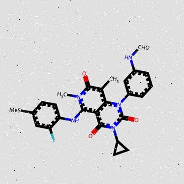 CSc1ccc(Nc2c3c(=O)n(C4CC4)c(=O)n(-c4cccc(NC=O)c4)c3c(C)c(=O)n2C)c(F)c1